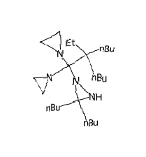 [CH2]CC(CCCC)(CCCC)C(N1CC1)(N1CC1)N1NC1(CCCC)CCCC